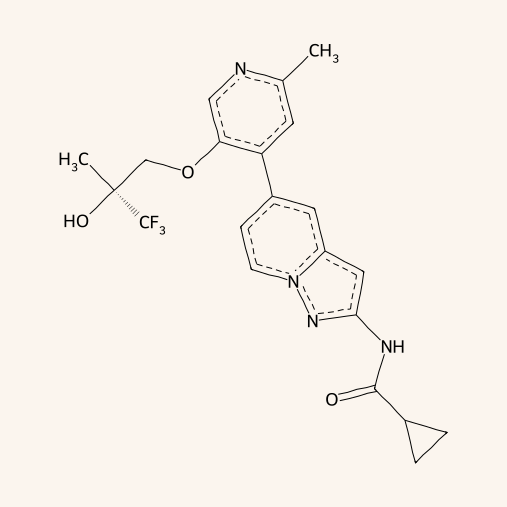 Cc1cc(-c2ccn3nc(NC(=O)C4CC4)cc3c2)c(OC[C@](C)(O)C(F)(F)F)cn1